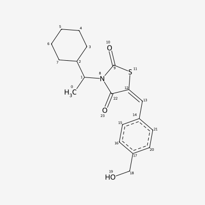 CC(C1CCCCC1)N1C(=O)SC(=Cc2ccc(CO)cc2)C1=O